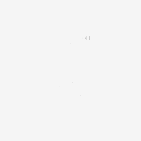 C=CC(C)(O)CCC1(C)C(=C)C2CCC1C2